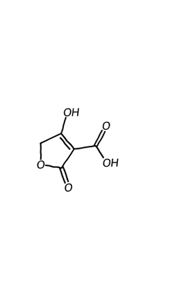 O=C(O)C1=C(O)COC1=O